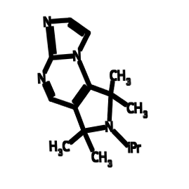 CC(C)N1C(C)(C)c2cnc3nccn3c2C1(C)C